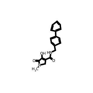 CN1CC(C(=O)NCc2ccc(-c3ccccc3)cc2)=C(O)C1=O